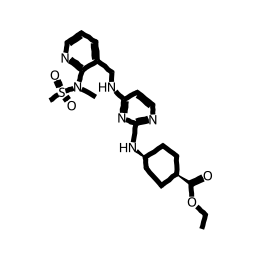 CCOC(=O)[C@H]1CC[C@@H](Nc2nccc(NCc3cccnc3N(C)S(C)(=O)=O)n2)CC1